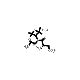 C[C@H](C(N)=O)N(C(=O)[C@@H](N)CC(=O)O)C1C(C)(C)SC1(C)C.O